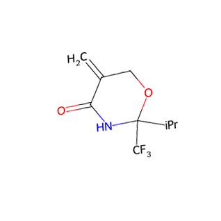 C=C1COC(C(C)C)(C(F)(F)F)NC1=O